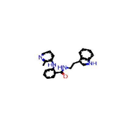 Cc1ncccc1Nc1ccccc1C(=O)NCCc1c[nH]c2ccccc12